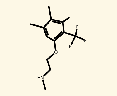 CNCCOc1cc(C)c(C)c(F)c1C(F)(F)F